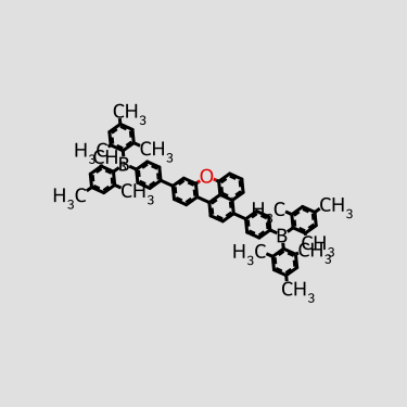 Cc1cc(C)c(B(c2ccc(-c3ccc4c(c3)Oc3cccc5c(-c6ccc(B(c7c(C)cc(C)cc7C)c7c(C)cc(C)cc7C)cc6)ccc-4c35)cc2)c2c(C)cc(C)cc2C)c(C)c1